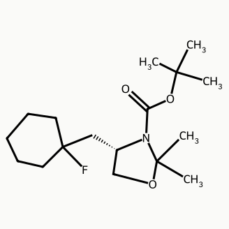 CC(C)(C)OC(=O)N1[C@@H](CC2(F)CCCCC2)COC1(C)C